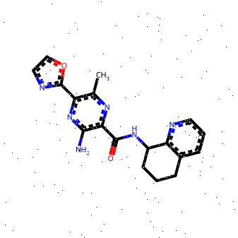 Cc1nc(C(=O)NC2CCCc3cccnc32)c(N)nc1-c1ncco1